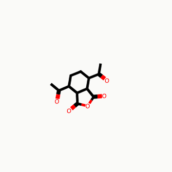 CC(=O)C1CCC(C(C)=O)C2C(=O)OC(=O)C12